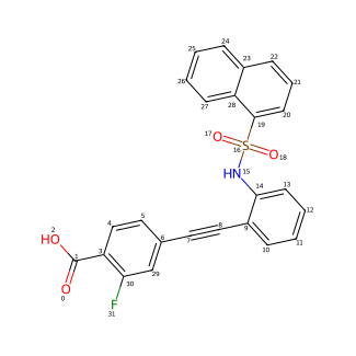 O=C(O)c1ccc(C#Cc2ccccc2NS(=O)(=O)c2cccc3ccccc23)cc1F